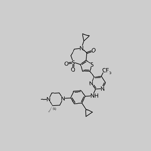 C[C@H]1CN(c2ccc(Nc3ncc(C(F)(F)F)c(-c4cc5c(s4)C(=O)N(C4CC4)CCS5(=O)=O)n3)c(C3CC3)c2)CCN1C